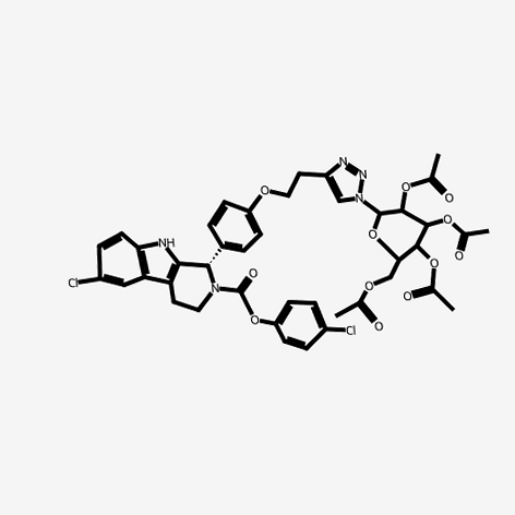 CC(=O)OCC1OC(n2cc(CCOc3ccc([C@H]4c5[nH]c6ccc(Cl)cc6c5CCN4C(=O)Oc4ccc(Cl)cc4)cc3)nn2)C(OC(C)=O)C(OC(C)=O)C1OC(C)=O